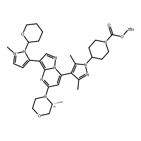 Cc1nn(C2CCN(C(=O)OC(C)(C)C)CC2)c(C)c1-c1cc(N2CCOC[C@H]2C)nc2c(-c3cc[n+](C)n3C3CCCCO3)cnn12